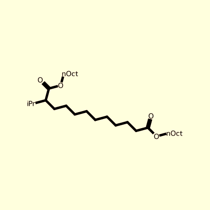 CCCCCCCCOC(=O)CCCCCCCCCC(C(=O)OCCCCCCCC)C(C)C